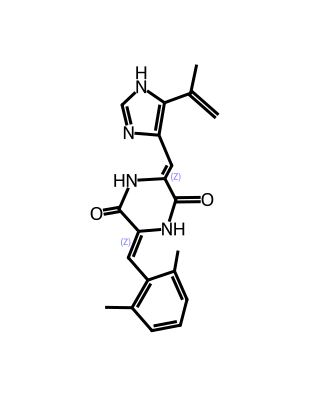 C=C(C)c1[nH]cnc1/C=c1\[nH]c(=O)/c(=C/c2c(C)cccc2C)[nH]c1=O